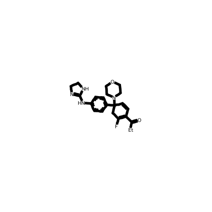 CCC(=O)C1=C(F)CC(c2ccc(NC3=NCCN3)cc2)(N2CCOCC2)C=C1